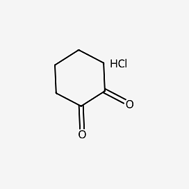 Cl.O=C1CCCCC1=O